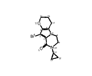 O=C1c2c(Br)c3c(n2CCN1C1CC1)CCCO3